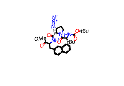 COC(=O)C(Cc1ccc2ccccc2c1)NC(=O)[C@@H]1[C@H](N=[N+]=[N-])CCN1C(=O)C(NC(=O)OC(C)(C)C)C(C)(C)C